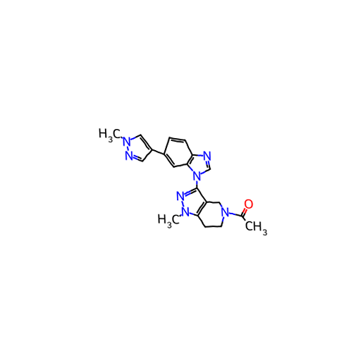 CC(=O)N1CCc2c(c(-n3cnc4ccc(-c5cnn(C)c5)cc43)nn2C)C1